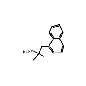 CC(=O)NC(C)(C)Cc1cccc2ccccc12